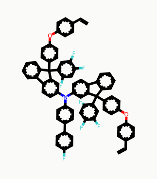 C=Cc1ccc(Oc2ccc(C3(c4cc(F)c(F)cc4F)c4ccccc4-c4ccc(N(c5ccc(-c6ccc(F)cc6)cc5)c5ccc6c(c5)C(c5ccc(Oc7ccc(C=C)cc7)cc5)(c5cc(F)c(F)cc5F)c5ccccc5-6)cc43)cc2)cc1